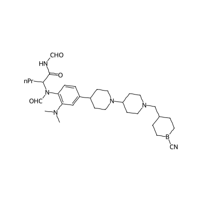 CCCC(C(=O)NC=O)N(C=O)c1ccc(C2CCN(C3CCN(CC4CCB(C#N)CC4)CC3)CC2)cc1N(C)C